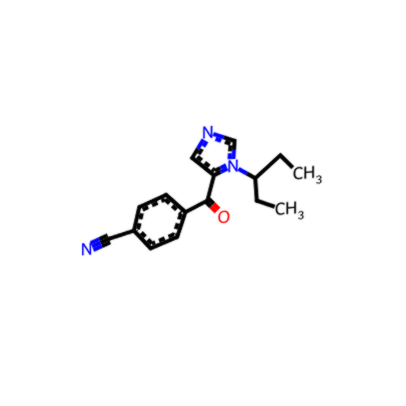 CCC(CC)n1cncc1C(=O)c1ccc(C#N)cc1